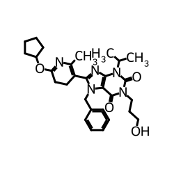 CC1=C(c2nc3c(c(=O)n(CCCO)c(=O)n3C(C)C)n2CC2=C=C=CC=C2)CCC(OC2CCCC2)=N1